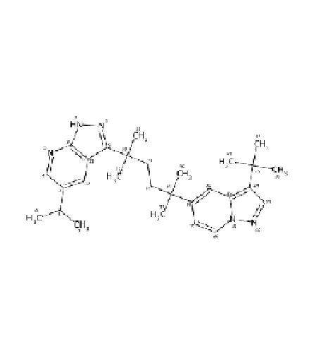 CC(C)c1cnc2[nH]nc(C(C)(C)CCC(C)(C)c3ccn4ncc(C(C)(C)C)c4c3)c2c1